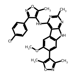 COc1cc2c(cc1-c1c(C)noc1C)[nH]c1nc(C)nc(Nc3c(-c4ccc(Cl)cc4)noc3C)c12